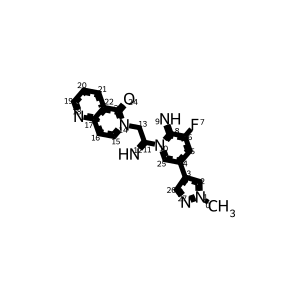 Cn1cc(-c2cc(F)c(=N)n(C(=N)Cn3ccc4ncccc4c3=O)c2)cn1